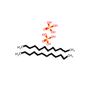 CCCCCCCCCCCC.CCCCCCCCCCCC.O=P(O)(O)O.O=P(O)(O)O